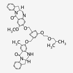 COc1cc2c(cc1OCc1cc(COc3cc4c(cc3C)C(=O)N3c5ccccc5C[C@H]3CN4)cc(OCCOCC(C)C)c1)N=C[C@@H]1Cc3ccccc3N1C2=O